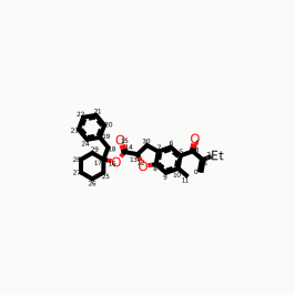 C=C(CC)C(=O)c1cc2c(cc1C)OC(C(=O)OC1(Cc3ccccc3)CCCCC1)C2